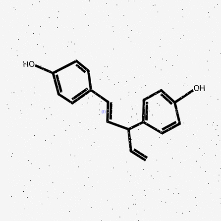 C=CC(/C=C/c1ccc(O)cc1)c1ccc(O)cc1